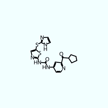 O=C(Nc1ccnc(C(=O)C2CCCC2)c1)Nc1ncc(Sc2ncc[nH]2)s1